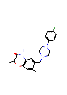 Cc1cc2c(cc1CN1CCN(c3ccc(Cl)cc3)CC1)NC(=O)C(C)O2